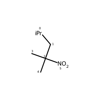 CC(C)CC(C)(C)[N+](=O)[O-]